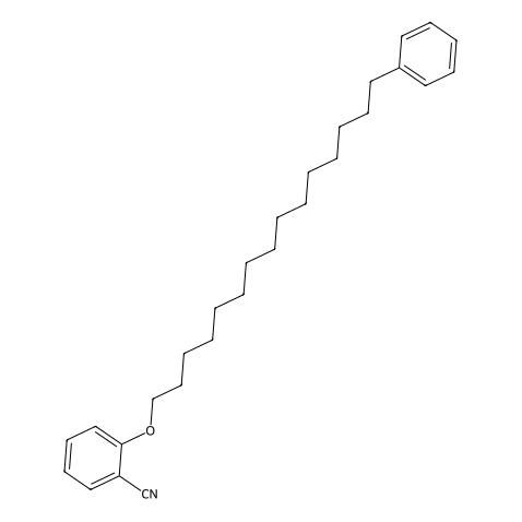 N#Cc1ccccc1OCCCCCCCCCCCCCCCc1ccccc1